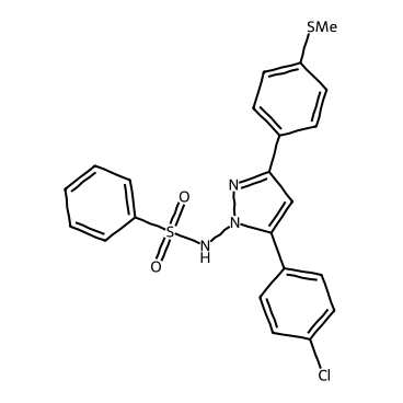 CSc1ccc(-c2cc(-c3ccc(Cl)cc3)n(NS(=O)(=O)c3ccccc3)n2)cc1